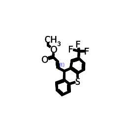 CCOC(=O)/C=C/C1c2ccccc2Sc2ccc(C(F)(F)F)cc21